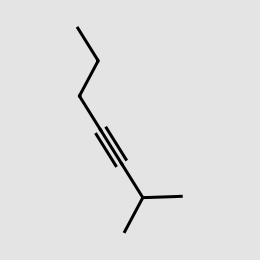 CCCC#CC(C)C